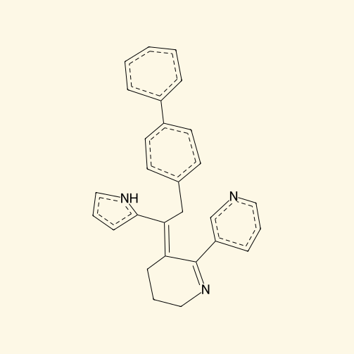 c1ccc(-c2ccc(CC(=C3CCCN=C3c3cccnc3)c3ccc[nH]3)cc2)cc1